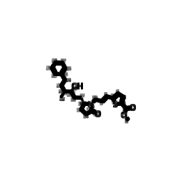 COC(=O)c1ccc(C=CCN2C(=O)CC[C@@H]2CC[C@@H](O)[C@@H](C)CCc2ccccc2)s1